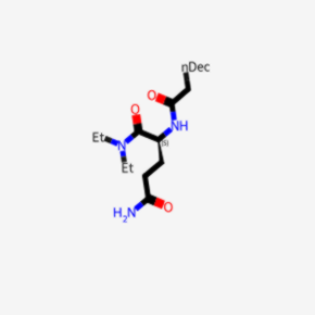 CCCCCCCCCCCC(=O)N[C@@H](CCC(N)=O)C(=O)N(CC)CC